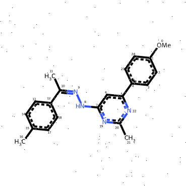 COc1ccc(-c2cc(NN=C(C)c3ccc(C)cc3)nc(C)n2)cc1